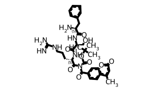 Cc1cc(=O)oc2cc(C(=O)N(C(=O)OC(C)(C)C)C(=O)[C@H](CCCNC(=N)N)NC(=O)[C@H](CO)NC(=O)[C@@H](N)Cc3ccccc3)ccc12